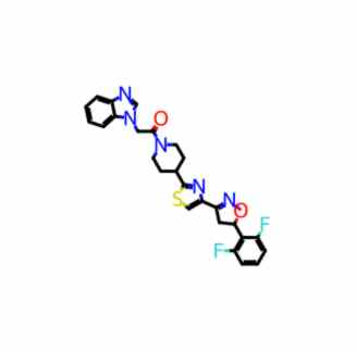 O=C(Cn1cnc2ccccc21)N1CCC(c2nc(C3=NOC(c4c(F)cccc4F)C3)cs2)CC1